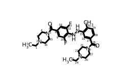 CCN1CCN(C(=O)c2cc(F)c(NNc3cc(C(=O)N4CCN(CC)CC4)ccc3C)c(F)c2)CC1